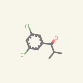 CC(C)C(=O)c1cc(Cl)cc(Cl)c1